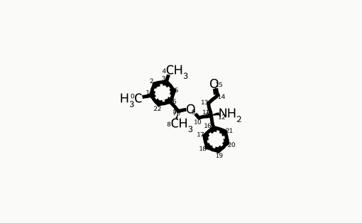 Cc1cc(C)cc([C@@H](C)OC[C@](N)(CC=O)c2ccccc2)c1